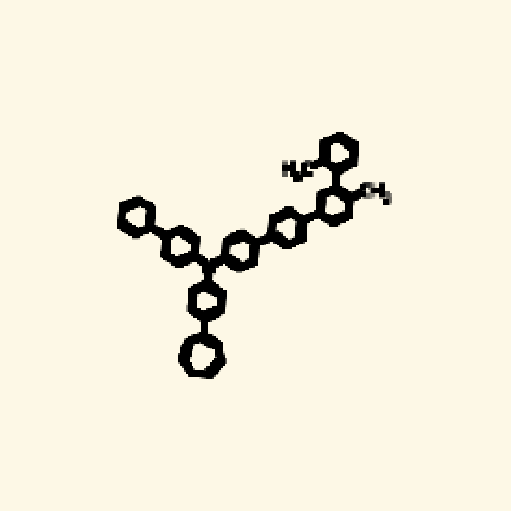 Cc1ccccc1-c1cc(-c2ccc(-c3ccc(N(c4ccc(C5=CC=CCC=C5)cc4)c4ccc(-c5ccccc5)cc4)cc3)cc2)ccc1C